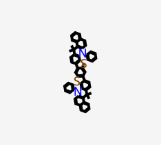 CC1(C)c2ccc3c(sc4cc5c(cc43)sc3c4c(ccc35)C(C)(C)c3c(ccc5ccccc35)N4c3ccccc3)c2N(c2ccccc2)c2ccc3ccccc3c21